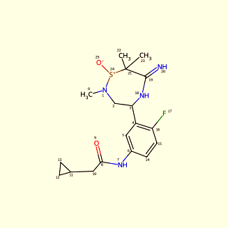 CN1CC(c2cc(NC(=O)CC3CC3)ccc2F)NC(=N)C(C)(C)[S+]1[O-]